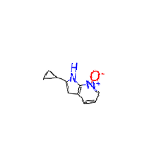 [O-][n+]1cccc2cc(C3CC3)[nH]c21